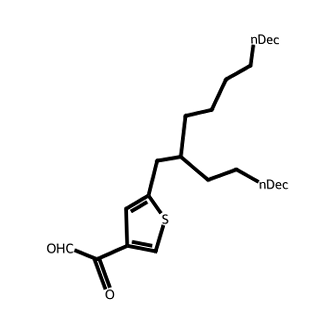 CCCCCCCCCCCCCCC(CCCCCCCCCCCC)Cc1cc(C(=O)C=O)cs1